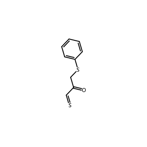 O=C(C=S)CSc1ccccc1